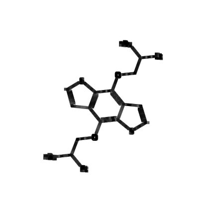 CCCCC(CC)COc1c2c[c]sc2c(OCC(CC)CCCC)c2c[c]sc12